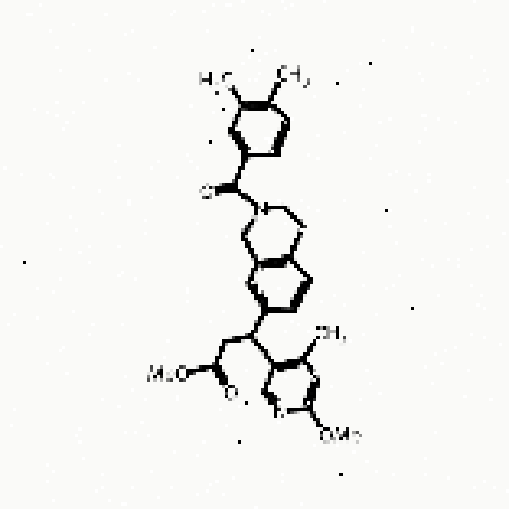 COC(=O)CC(c1ccc2c(c1)CN(C(=O)c1ccc(C)c(C)c1)CC2)c1cnc(OC)cc1C